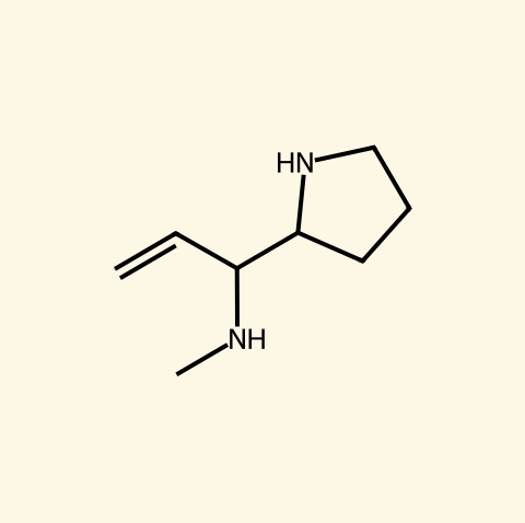 C=CC(NC)C1CCCN1